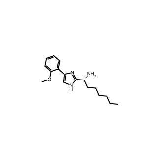 CCCCCC[C@@H](N)c1nc(-c2ccccc2OC)c[nH]1